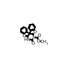 COC(=O)N1C(=O)NC(=O)C(c2ccccc2)(c2ccccc2)C1=O